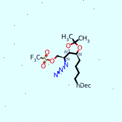 CCCCCCCCCCCCCC[C@@H]1OC(C)(C)O[C@H]1[C@H](COS(=O)(=O)C(F)(F)F)N=[N+]=[N-]